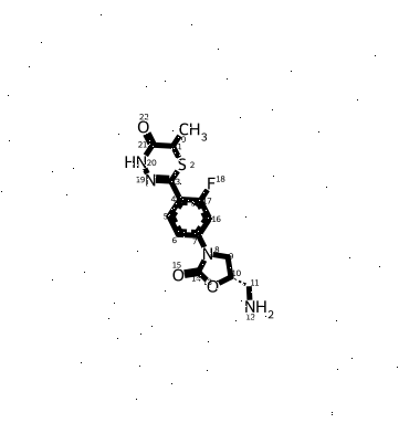 CC1SC(c2ccc(N3C[C@H](CN)OC3=O)cc2F)=NNC1=O